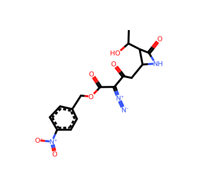 CC(O)C1C(=O)NC1CC(=O)C(=[N+]=[N-])C(=O)OCc1ccc([N+](=O)[O-])cc1